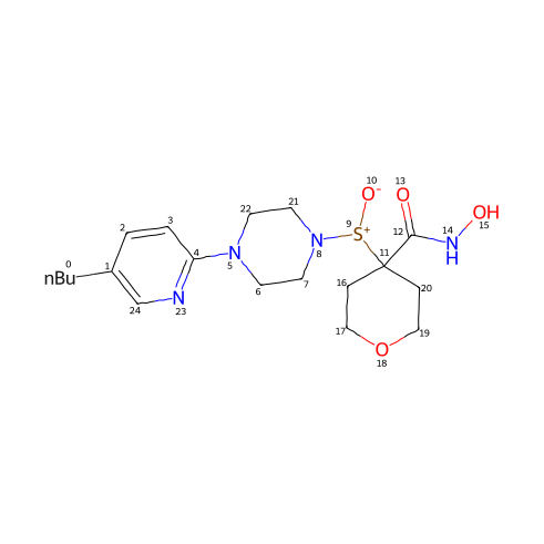 CCCCc1ccc(N2CCN([S+]([O-])C3(C(=O)NO)CCOCC3)CC2)nc1